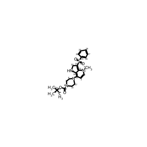 CN1C=CC(N2CCN(C(=O)OC(C)(C)C)CC2)=C2NCC(S(=O)(=O)c3ccccc3)=C21